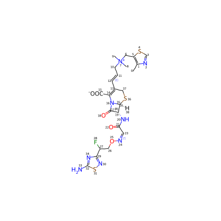 Cc1ncsc1C[N+](C)(C)C/C=C/C1=C(C(=O)[O-])N2C(=O)[C@@H](NC(=O)/C=N\OCC(F)c3nsc(N)n3)[C@@H]2SC1